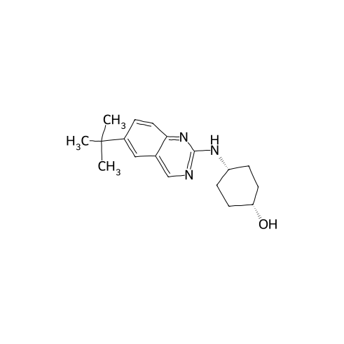 CC(C)(C)c1ccc2nc(N[C@H]3CC[C@@H](O)CC3)ncc2c1